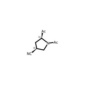 CC(=O)[C@@H]1C[C@H](C#N)CN1C(C)=O